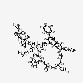 C=C[C@@H]1C[C@]1(NC(=O)[C@@H]1C[C@@H]2CN1C(=O)[C@H](C1CCCC1)NC(=O)OCC(C)C/C=C/c1cc3c(cc(-c4ccccc4)nc3cc1OC)O2)C(=O)NS(=O)(=O)C1CC1